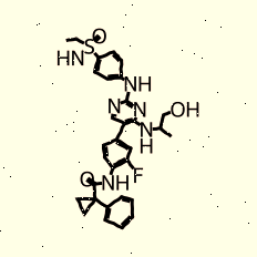 CCS(=N)(=O)c1ccc(Nc2ncc(-c3ccc(NC(=O)C4(c5ccccc5)CC4)c(F)c3)c(NC(C)CO)n2)cc1